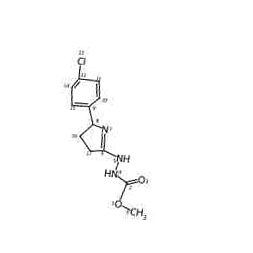 COC(=O)NNC1=NC(c2ccc(Cl)cc2)CC1